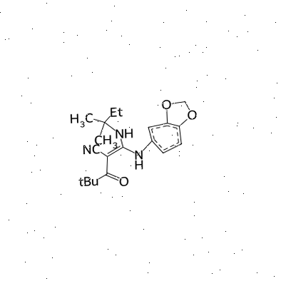 CCC(C)(C)NC(Nc1ccc2c(c1)OCO2)=C(C#N)C(=O)C(C)(C)C